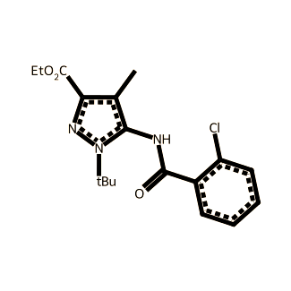 CCOC(=O)c1nn(C(C)(C)C)c(NC(=O)c2ccccc2Cl)c1C